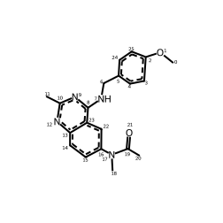 COc1ccc(CNc2nc(C)nc3ccc(N(C)C(C)=O)cc23)cc1